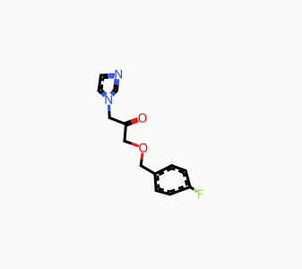 O=C(COCc1ccc(F)cc1)Cn1ccnc1